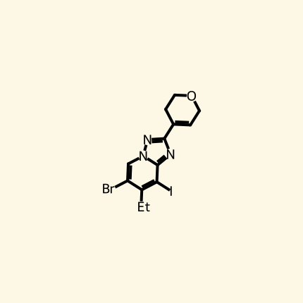 CCc1c(Br)cn2nc(C3=CCOCC3)nc2c1I